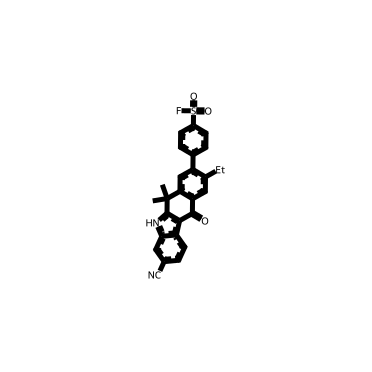 CCc1cc2c(cc1-c1ccc(S(=O)(=O)F)cc1)C(C)(C)c1[nH]c3cc(C#N)ccc3c1C2=O